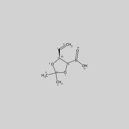 C=C[C@@H]1OC(C)(C)OC1C(=O)O